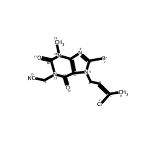 CC(Cl)=CCn1c(Br)nc2c1c(=O)n(CC#N)c(=O)n2C